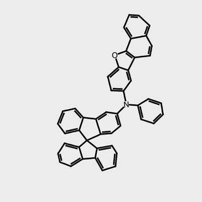 c1ccc(N(c2ccc3c(c2)-c2ccccc2C32c3ccccc3-c3ccccc32)c2ccc3oc4c5ccccc5ccc4c3c2)cc1